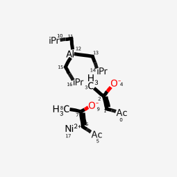 CC(=O)/C=C(/C)[O-].CC(=O)/C=C(/C)[O-].CC(C)[CH2][Al]([CH2]C(C)C)[CH2]C(C)C.[Ni+2]